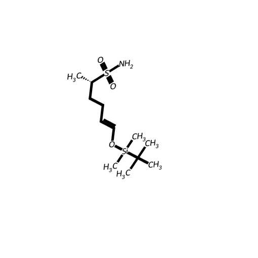 C[C@@H](CCC=CO[Si](C)(C)C(C)(C)C)S(N)(=O)=O